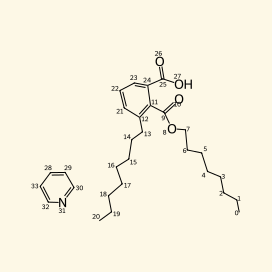 CCCCCCCCOC(=O)c1c(CCCCCCCC)cccc1C(=O)O.c1ccncc1